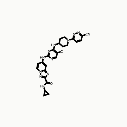 N#Cc1ccc(N2CCC(Nc3nc(Nc4ccn5nc(C(=O)NC6CC6)nc5c4)ncc3Cl)CC2)nn1